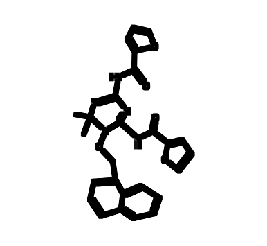 CC1(C)N=C(NC(=O)c2ccco2)N=C(NC(=O)c2ccco2)N1OCc1cccc2ccccc12